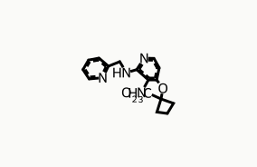 CC1(Oc2ccnc(NCc3ccccn3)c2[N+](=O)[O-])CCC1